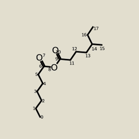 CCCCCCC(=O)OC(=O)CCCC(C)CC